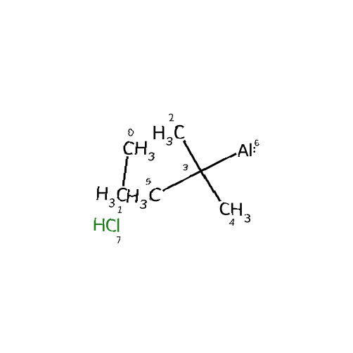 CC.C[C](C)(C)[Al].Cl